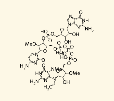 C=CN(c1nc(N)[nH]c(=O)c1NC)[C@H]1O[C@@H](COP(=O)(O)OP(=O)(O)OP(=O)(O)OC[C@H]2O[C@@H](n3ccc(N)nc3=O)[C@@H](OC)[C@H]2OP(=O)(O)OC[C@H]2O[C@@H](n3cnc4c(=O)[nH]c(N)nc43)[C@@H](O)[C@H]2O)C(OC)C1O